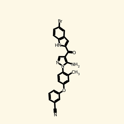 Cc1cc(Oc2cccc(C#N)c2)ccc1-n1ncc(C(=O)c2cc3cc(Br)ccc3[nH]2)c1N